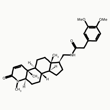 COc1ccc(CC(=O)NC[C@H]2CC[C@H]3[C@@H]4CC[C@H]5N(C)C(=O)C=C[C@]5(C)[C@H]4CC[C@]23C)cc1OC